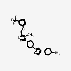 Cn1c(COc2cccc(C(F)(F)F)c2)nnc1[C@H]1CC[C@H](n2cc([C@H]3CC[C@H](N)CC3)cn2)CC1